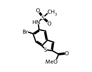 COC(=O)c1cc2cc(NS(C)(=O)=O)c(Br)cc2s1